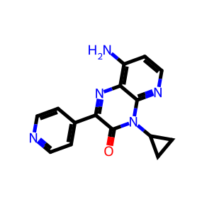 Nc1ccnc2c1nc(-c1ccncc1)c(=O)n2C1CC1